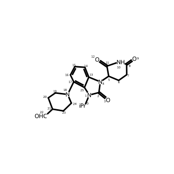 CC(C)n1c(=O)n(C2CCC(=O)NC2=O)c2cccc(N3CCC(C=O)CC3)c21